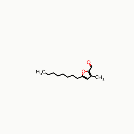 CCCCCCCCc1cc(C)c(C=O)o1